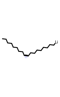 [Li][CH2]CCCCCCC/C=C\CCCCCCCC